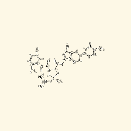 CC(=O)c1nn(CC(=O)C2C[C@@](C)(CN(C)C)CC2C(=O)Nc2nc(Br)ccc2C)c2ccc(-c3cnc(C)nc3)cc12